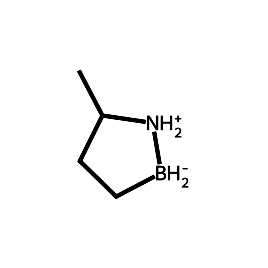 CC1CC[BH2-][NH2+]1